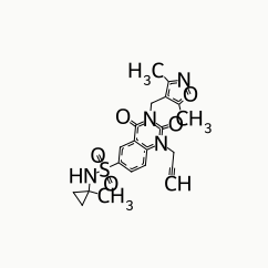 C#CCn1c(=O)n(Cc2c(C)noc2C)c(=O)c2cc(S(=O)(=O)NC3(C)CC3)ccc21